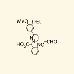 CCOc1cc(C2=NN(C(C(=O)O)C3C=CC=CC3=NOCC=O)CCC2)ccc1OC